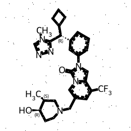 C[C@H]1CN(Cc2cc(C(F)(F)F)c3cn(-c4cccc([C@H](c5nncn5C)C5CCC5)c4)c(=O)n3c2)CC[C@H]1O